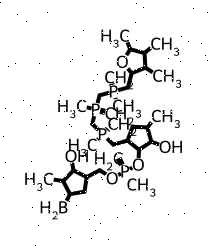 BC1CC(COP(=C)(C)OC2C(CP(=C)(C)CP(=C)(C)CP(=C)(C)CC3OC(C)C(C)C3C)CC(C)C2O)C(O)C1C